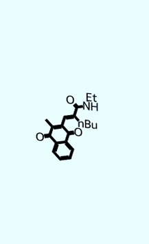 CCCC/C(=C\C1=C(C)C(=O)c2ccccc2C1=O)C(=O)NCC